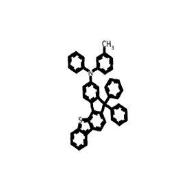 Cc1cccc(N(c2ccccc2)c2ccc3c(c2)C(c2ccccc2)(c2ccccc2)c2ccc4c(sc5ccccc54)c2-3)c1